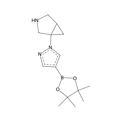 CC1(C)OB(c2cnn(C34CNCC3C4)c2)OC1(C)C